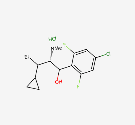 CCC(C1CC1)[C@H](NC)C(O)c1c(F)cc(Cl)cc1F.Cl